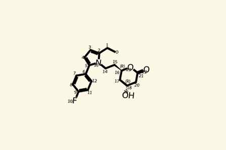 CCc1ccc(-c2ccc(F)cc2)n1CC[C@@H]1C[C@@H](O)CC(=O)O1